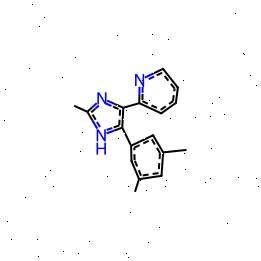 Cc1cc(C)cc(-c2[nH]c(C)nc2-c2ccccn2)c1